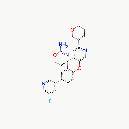 NC1=N[C@@]2(CCO1)c1cc(-c3cncc(F)c3)ccc1Oc1cnc(C3=CCCOC3)cc12